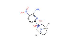 Nc1nc(N2C[C@H]3CC[C@@H](C2)N3C(=O)O)ccc1[N+](=O)[O-]